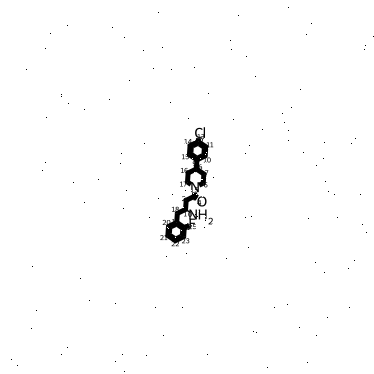 N[C@@H](CC(=O)N1CCC(c2ccc(Cl)cc2)CC1)Cc1ccccc1F